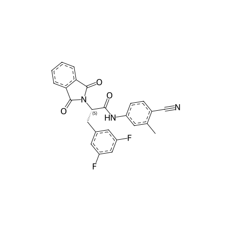 Cc1cc(NC(=O)[C@H](Cc2cc(F)cc(F)c2)N2C(=O)c3ccccc3C2=O)ccc1C#N